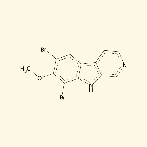 COc1c(Br)cc2c([nH]c3cnccc32)c1Br